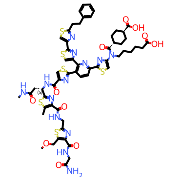 CNC(=O)C[C@H](NC(=O)c1csc(-c2ccc(-c3nc(N(CCCCCC(=O)O)C(=O)[C@H]4CC[C@H](C(=O)O)CC4)cs3)nc2-c2csc(-c3csc(CCc4ccccc4)n3)n2)n1)c1nc(C(=O)NCc2nc(C(=O)NCC(N)=O)c(COC)s2)c(C)s1